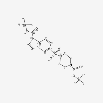 CC(C)(C)OC(=O)N1CCN(S(=O)(=O)c2ccc3c(ccn3C(=O)OC(C)(C)C)c2)CC1